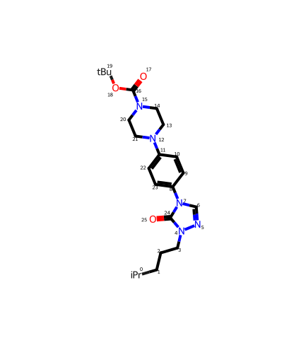 CC(C)CCCn1ncn(-c2ccc(N3CCN(C(=O)OC(C)(C)C)CC3)cc2)c1=O